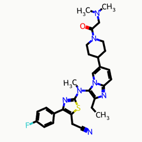 CCc1nc2ccc(C3CCN(C(=O)CN(C)C)CC3)cn2c1N(C)c1nc(-c2ccc(F)cc2)c(CC#N)s1